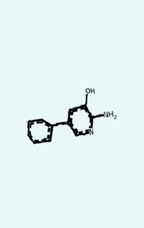 Nc1ncc(-c2c[c]ccc2)cc1O